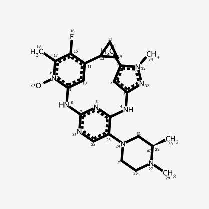 Cc1cc(Nc2nc(Nc3cc(C4CC4)c(F)c(C)[n+]3[O-])ncc2N2CCN(C)[C@H](C)C2)nn1C